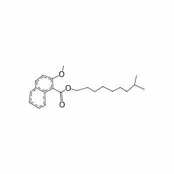 COc1ccc2ccccc2c1C(=O)OCCCCCCCC(C)C